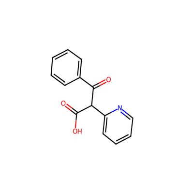 O=C(O)C(C(=O)c1ccccc1)c1ccccn1